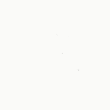 c1csc(-c2ccc3[nH]cc([C@@H]4CCN5CCC[C@H]5C4)c3c2)c1